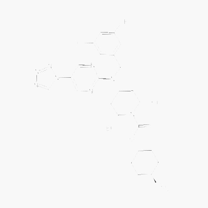 CC[C@@H]1C[C@H](N(Cc2cc(C(F)(F)F)cc(C(F)(F)F)c2)c2ncc(-n3cnnn3)cn2)C[C@H](CC)N1C(=O)O[C@H]1CC[C@H](C(=O)O)CC1